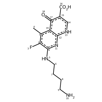 Cc1c(F)c(NCCCCN)nc2[nH]cc(C(=O)O)c(=O)c12